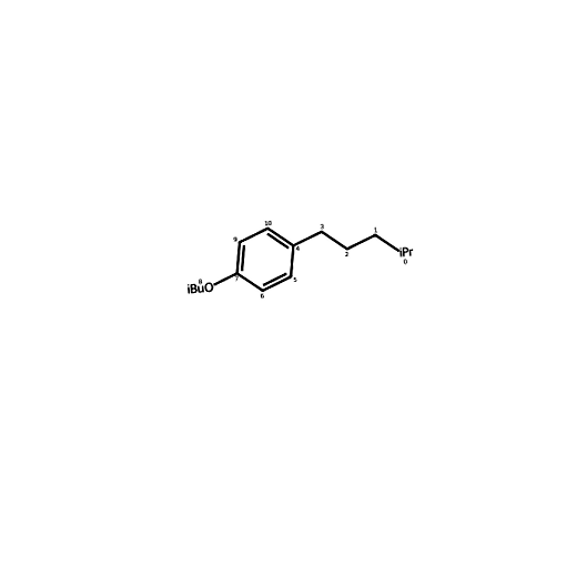 CC(C)CCCc1ccc(OCC(C)C)cc1